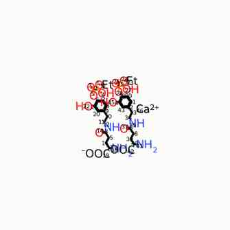 CCOP(=O)(O)Oc1ccc(CCNC(=O)CC[C@H](N)C(=O)[O-])cc1O.CCOP(=O)(O)Oc1ccc(CCNC(=O)CC[C@H](N)C(=O)[O-])cc1O.[Ca+2]